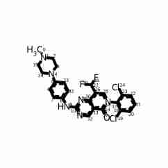 CN1CCN(c2ccc(Nc3ncc4c(=O)n(-c5c(Cl)cccc5Cl)cc(C(F)F)c4n3)cc2)CC1